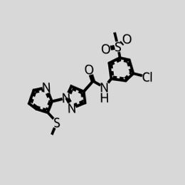 CSc1cccnc1-n1cc(C(=O)Nc2cc(Cl)cc(S(C)(=O)=O)c2)cn1